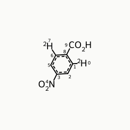 [2H]c1cc([N+](=O)[O-])cc([2H])c1C(=O)O